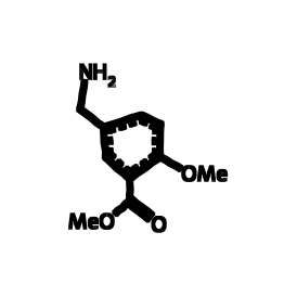 COC(=O)c1cc(CN)ccc1OC